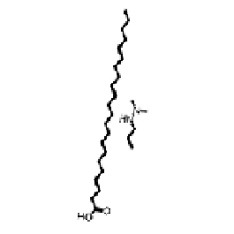 CCCCCCCCCCCCCCCCCCCCCC(=O)O.CCCNN(C)C